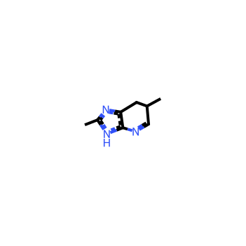 Cc1nc2c([nH]1)N=CC(C)C2